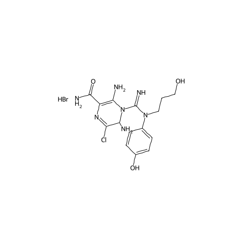 Br.N=C(N(CCCO)c1ccc(O)cc1)N1C(N)=C(C(N)=O)N=C(Cl)C1N